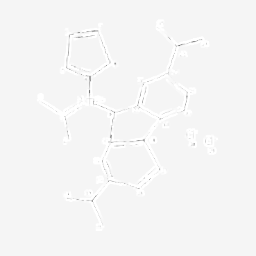 C[C](C)=[Ti+2]([C]1=CC=CC1)[CH]1c2cc(C(C)C)ccc2-c2ccc(C(C)C)cc21.[Cl-].[Cl-]